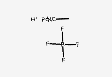 CC#N.F[B-](F)(F)F.[H+].[Pd]